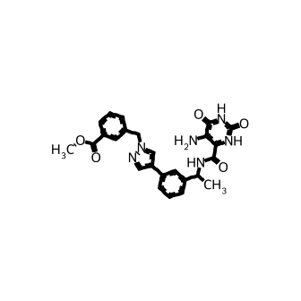 COC(=O)c1cccc(Cn2cc(-c3cccc(C(C)NC(=O)c4[nH]c(=O)[nH]c(=O)c4N)c3)cn2)c1